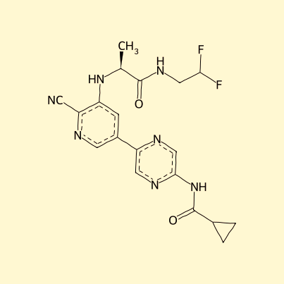 C[C@H](Nc1cc(-c2cnc(NC(=O)C3CC3)cn2)cnc1C#N)C(=O)NCC(F)F